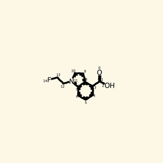 O=C(O)c1cccc2c1ccn2CCF